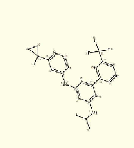 CC(C)Nc1nc(Nc2ccnc(C3(C)CC3)c2)nc(-c2cccc(C(F)(F)F)n2)n1